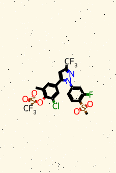 Cc1cc(-c2cc(C(F)(F)F)nn2-c2ccc(S(C)(=O)=O)c(F)c2)cc(Cl)c1OS(=O)(=O)C(F)(F)F